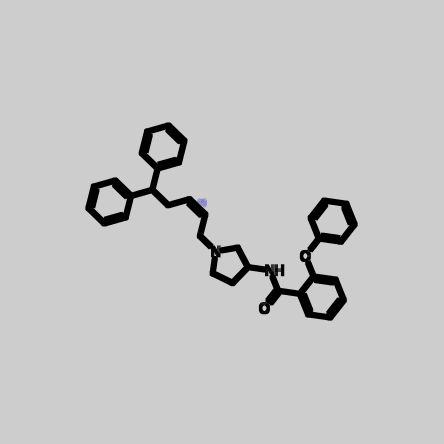 O=C(NC1CCN(C/C=C\CC(c2ccccc2)c2ccccc2)C1)c1ccccc1Oc1ccccc1